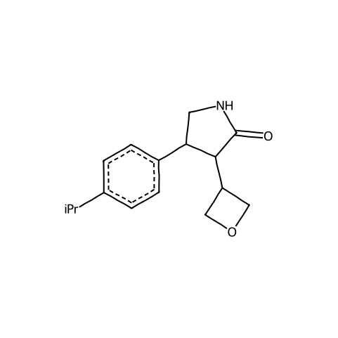 CC(C)c1ccc(C2CNC(=O)C2C2COC2)cc1